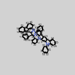 c1ccc(-c2nc(-c3ccccc3-n3c4ccccc4c4cc5c6ccccc6n(-c6ccccc6)c5cc43)c3c(n2)[Si](c2ccccc2)(c2ccccc2)c2ccccc2-3)cc1